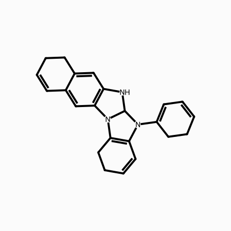 C1=CCCC(N2C3=C(CCC=C3)N3c4cc5c(cc4NC23)CCC=C5)=C1